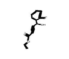 CCOC(=O)C#CC(O)c1ccccc1F